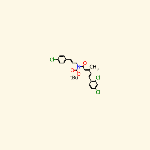 CC(C=Cc1ccc(Cl)cc1Cl)=CC(=O)N(CC=Cc1ccc(Cl)cc1)C(=O)OC(C)(C)C